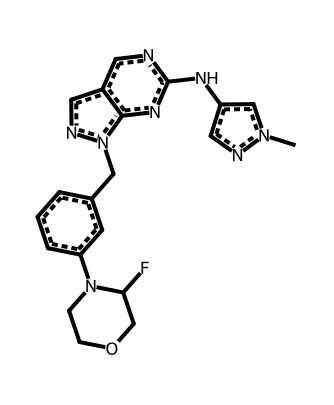 Cn1cc(Nc2ncc3cnn(Cc4cccc(N5CCOCC5F)c4)c3n2)cn1